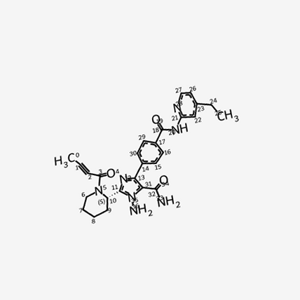 CC#CC(=O)N1CCCC[C@H]1c1nc(-c2ccc(C(=O)Nc3cc(CC)ccn3)cc2)c(C(N)=O)n1N